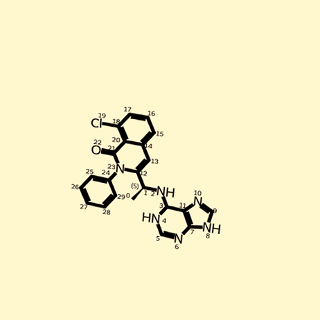 C[C@H](NC1NC=Nc2[nH]cnc21)c1cc2cccc(Cl)c2c(=O)n1-c1ccccc1